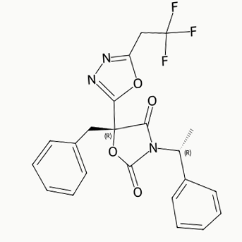 C[C@H](c1ccccc1)N1C(=O)O[C@](Cc2ccccc2)(c2nnc(CC(F)(F)F)o2)C1=O